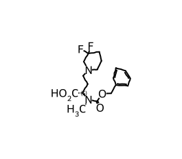 CN(C(=O)OCc1ccccc1)[C@@H](CCN1CCCC(F)(F)C1)C(=O)O